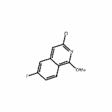 COc1nc(Cl)cc2cc(F)ccc12